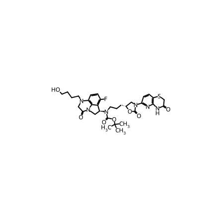 CC(C)(C)OC(=O)N(CCC[C@@H]1CN(c2ccc3c(n2)NC(=O)CS3)C(=O)O1)[C@H]1CN2C(=O)CN(CCCCO)c3ccc(F)c1c32